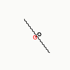 CCCCCCCCCCCCCC(=O)CCCCCCCCCCCCC.c1ccccc1